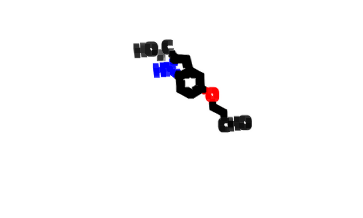 O=CCCOc1ccc2[nH]c(C(=O)O)cc2c1